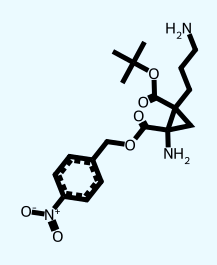 CC(C)(C)OC(=O)C1(CCCN)CC1(N)C(=O)OCc1ccc([N+](=O)[O-])cc1